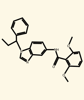 CCC(c1ccccc1)n1cnc2cc(NC(=O)c3c(OC)cccc3OC)ccc21